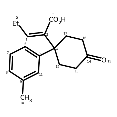 CCC=C(C(=O)O)C1(c2cccc(C)c2)CCC(=O)CC1